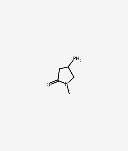 CN1CC(P)CC1=O